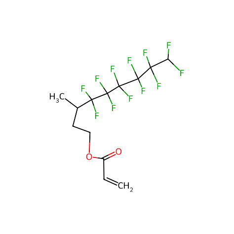 C=CC(=O)OCCC(C)C(F)(F)C(F)(F)C(F)(F)C(F)(F)C(F)(F)C(F)F